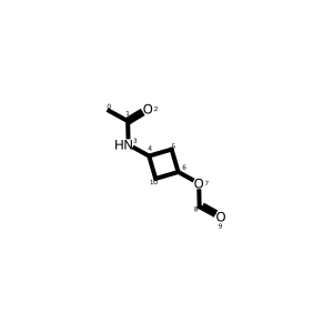 CC(=O)NC1CC(OC=O)C1